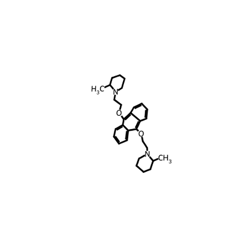 CC1CCCCN1CCOc1c2ccccc2c(OCCN2CCCCC2C)c2ccccc12